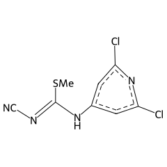 CS/C(=N\C#N)Nc1cc(Cl)nc(Cl)c1